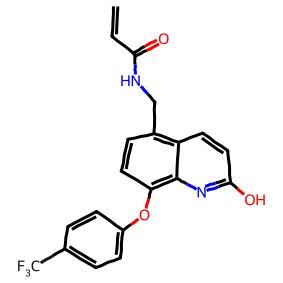 C=CC(=O)NCc1ccc(Oc2ccc(C(F)(F)F)cc2)c2nc(O)ccc12